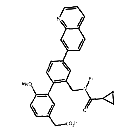 CCN(Cc1cc(-c2ccc3cccnc3c2)ccc1-c1cc(CC(=O)O)ccc1OC)C(=O)C1CC1